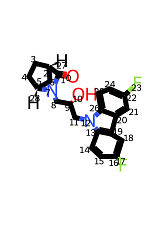 O=C1[C@@H]2CC[C@@H](C2)N1C[C@@H](O)Cn1c2ccc(F)cc2c2cc(F)ccc21